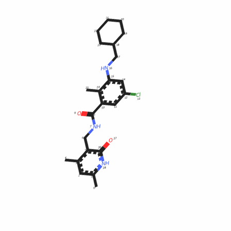 Cc1cc(C)c(CNC(=O)c2cc(Cl)cc(NCC3CCCCC3)c2C)c(=O)[nH]1